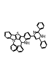 C1=C(c2ccc3c(c2)NC(c2ccccc2)c2c-3sc3c4ccccc4n(-c4ccccc4)c23)N=C(c2ccccc2)NC1c1ccccc1